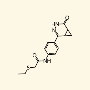 CCSCC(=O)Nc1ccc(C2=NNC(=O)C3CC23)cc1